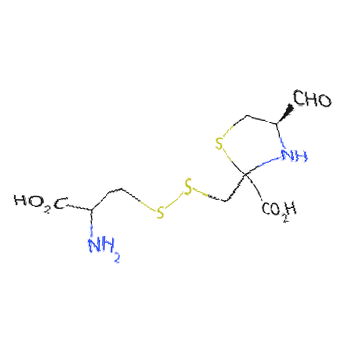 NC(CSSCC1(C(=O)O)N[C@H](C=O)CS1)C(=O)O